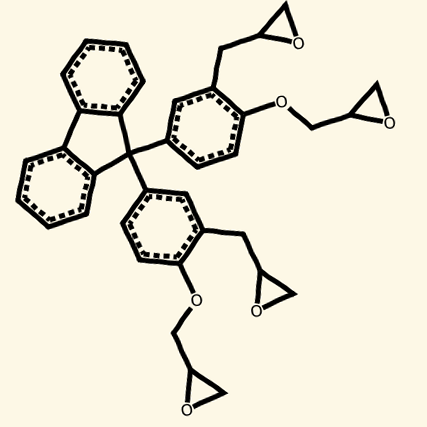 c1ccc2c(c1)-c1ccccc1C2(c1ccc(OCC2CO2)c(CC2CO2)c1)c1ccc(OCC2CO2)c(CC2CO2)c1